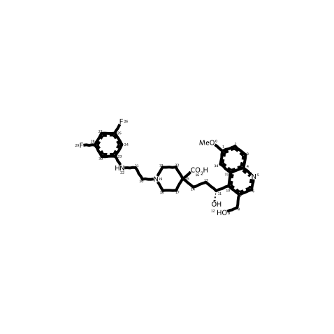 COc1ccc2ncc(CO)c([C@H](O)CCC3(C(=O)O)CCN(CCNc4cc(F)cc(F)c4)CC3)c2c1